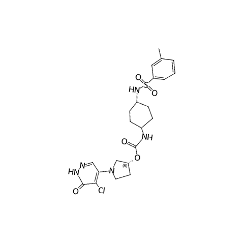 Cc1cccc(S(=O)(=O)NC2CCC(NC(=O)O[C@@H]3CCN(c4cn[nH]c(=O)c4Cl)C3)CC2)c1